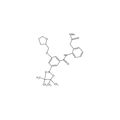 COC(=O)Cc1ccccc1NC(=O)c1cc(OCC2CCCO2)cc(B2OC(C)(C)C(C)(C)O2)c1